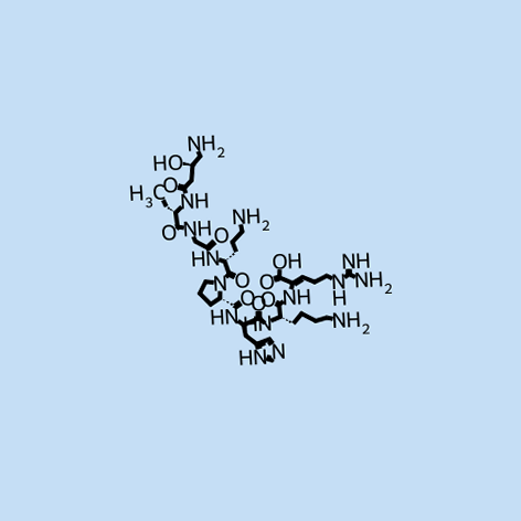 CC[C@H](NC(=O)C[C@@H](O)CN)C(=O)NCC(=O)N[C@H](CCCN)C(=O)N1CCC[C@H]1C(=O)NC(Cc1cnc[nH]1)C(=O)N[C@@H](CCCCN)C(=O)N/C(=C\CCNC(=N)N)C(=O)O